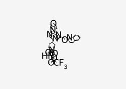 O=C(ONS(=O)(=O)N1CCC(c2cnc(N3CCOCC3)c3nc(COc4ccc5ccccc5n4)cn23)CC1)C(F)(F)F